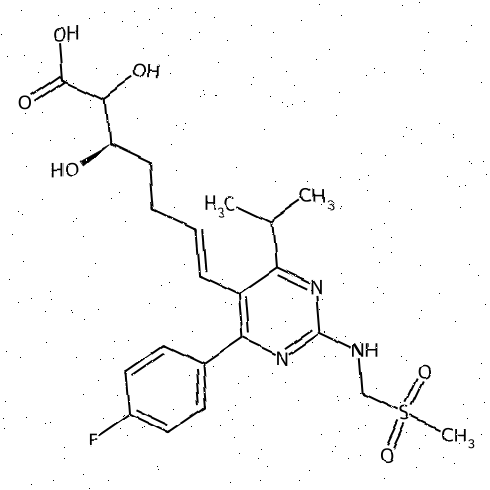 CC(C)c1nc(NCS(C)(=O)=O)nc(-c2ccc(F)cc2)c1C=CCC[C@@H](O)C(O)C(=O)O